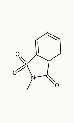 CN1C(=O)C2CC=CC=C2S1(=O)=O